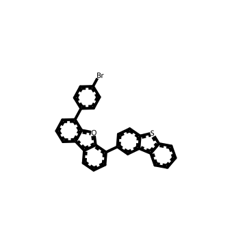 Brc1ccc(-c2cccc3c2oc2c(-c4ccc5sc6ccccc6c5c4)cccc23)cc1